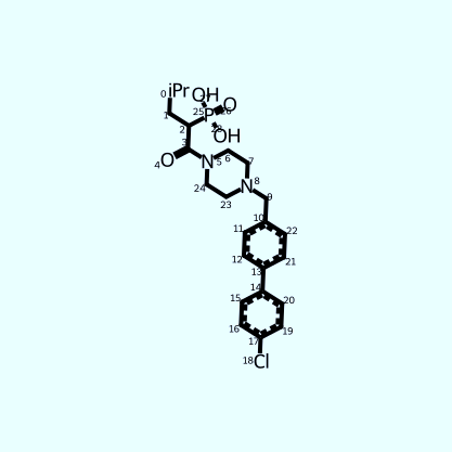 CC(C)CC(C(=O)N1CCN(Cc2ccc(-c3ccc(Cl)cc3)cc2)CC1)P(=O)(O)O